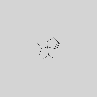 CC(C)C1(C(C)C)C#CCC1